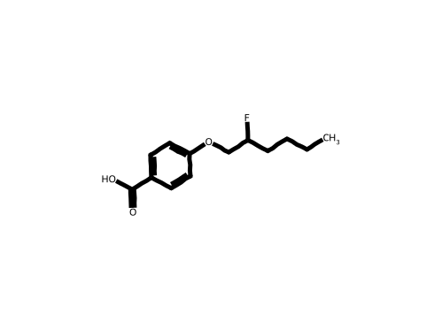 CCCCC(F)COc1ccc(C(=O)O)cc1